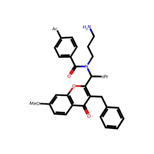 CCCC(c1oc2cc(OC)ccc2c(=O)c1Cc1ccccc1)N(CCCN)C(=O)c1ccc(C(C)=O)cc1